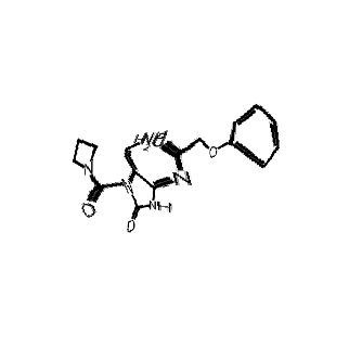 C=C(COc1ccccc1)/N=C1/NC(=O)N(C(=O)N2CCC2)/C1=C/N